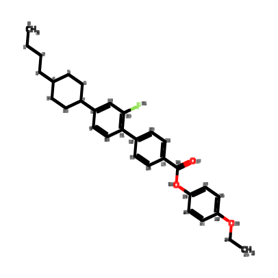 CCCCC1CCC(c2ccc(-c3ccc(C(=O)Oc4ccc(OCC)cc4)cc3)c(F)c2)CC1